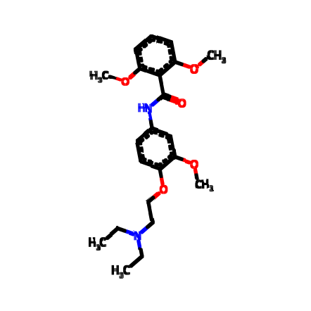 CCN(CC)CCOc1ccc(NC(=O)c2c(OC)cccc2OC)cc1OC